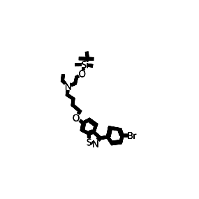 CCN(CCCCOc1ccc2c(-c3ccc(Br)cc3)nsc2c1)CCO[Si](C)(C)C(C)(C)C